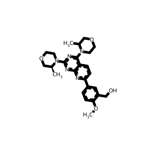 COc1ccc(-c2ccc3c(N4CCOCC4C)nc(N4CCOC[C@@H]4C)nc3n2)cc1CO